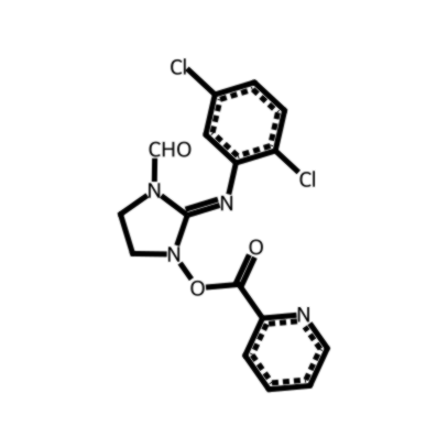 O=CN1CCN(OC(=O)c2ccccn2)C1=Nc1cc(Cl)ccc1Cl